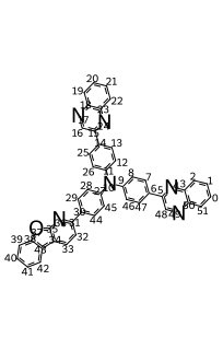 c1ccc2nc(-c3ccc(N(c4ccc(-c5cnc6ccccc6n5)cc4)c4ccc(-c5ccc6c(n5)oc5ccccc56)cc4)cc3)cnc2c1